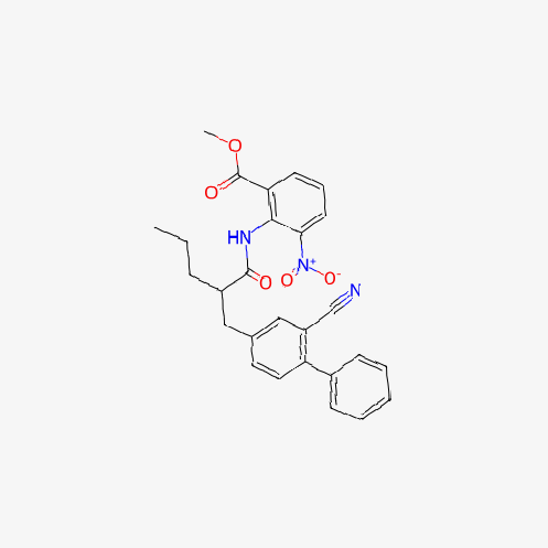 CCCC(Cc1ccc(-c2ccccc2)c(C#N)c1)C(=O)Nc1c(C(=O)OC)cccc1[N+](=O)[O-]